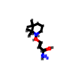 CC1(C)CCCN(OC=CC(N)=O)C1(C)C